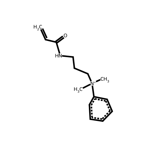 C=CC(=O)NCCC[N+](C)(C)c1ccccc1